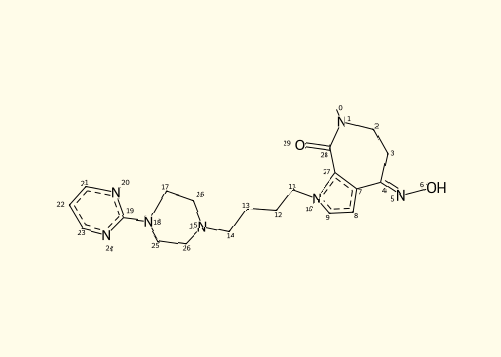 CN1CCC(=NO)c2ccn(CCCCN3CCN(c4ncccn4)CC3)c2C1=O